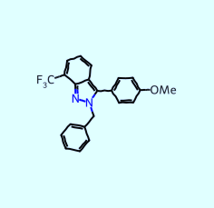 COc1ccc(-c2c3cccc(C(F)(F)F)c3nn2Cc2ccccc2)cc1